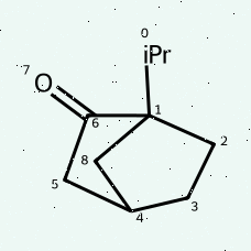 CC(C)C12CCC(CC1=O)C2